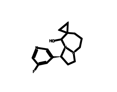 OC1N2[C@@H](c3cncc(F)c3)CCN2CCCC12CC2